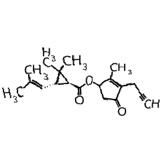 C#CCC1=C(C)C(OC(=O)[C@H]2[C@H](C=C(C)C)C2(C)C)CC1=O